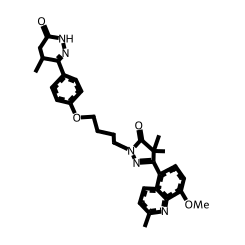 COc1ccc(C2=NN(CCCCOc3ccc(C4=NNC(=O)CC4C)cc3)C(=O)C2(C)C)c2ccc(C)nc12